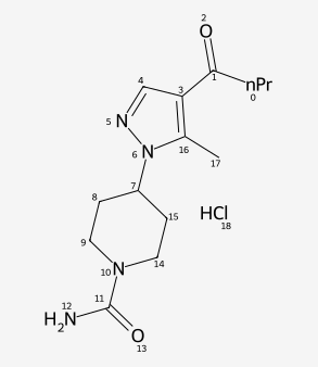 CCCC(=O)c1cnn(C2CCN(C(N)=O)CC2)c1C.Cl